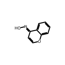 ON=c1ccoc2ccccc12